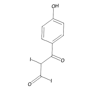 O=C(I)C(I)C(=O)c1ccc(O)cc1